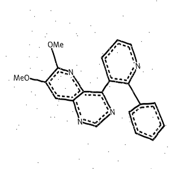 COc1cc2ncnc(-c3cccnc3-c3ccccc3)c2nc1OC